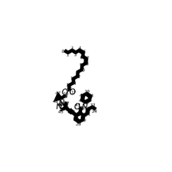 CCCC/C=C\C/C=C\CCCCCCCC(=O)OCC1(n2cc(C#Cc3cccc4cc(CC)n(-c5ccccc5)c(=O)c34)cn2)CC1